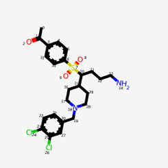 CC(=O)c1ccc(S(=O)(=O)C(CCCN)C2CCN(Cc3ccc(Cl)c(Cl)c3)CC2)cc1